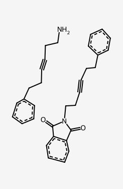 NCCC#CCCc1ccccc1.O=C1c2ccccc2C(=O)N1CCC#CCCc1ccccc1